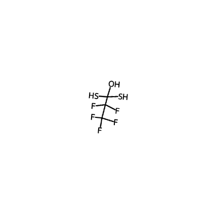 OC(S)(S)C(F)(F)C(F)(F)F